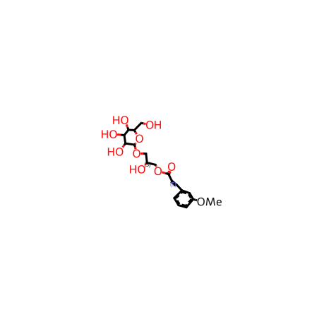 COc1cccc(/C=C/C(=O)OC[C@@H](O)COC2OC(CO)C(O)C(O)C2O)c1